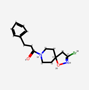 O=C(CCc1ccccc1)N1CCC2(CC1)CC(Br)=NO2